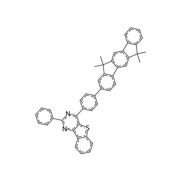 CC1(C)c2ccccc2-c2cc3c(cc21)-c1ccc(-c2ccc(-c4nc(-c5ccccc5)nc5c4sc4ccccc45)cc2)cc1C3(C)C